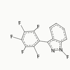 Fc1c(F)c(F)c(-c2nn(F)c3ccccc23)c(F)c1F